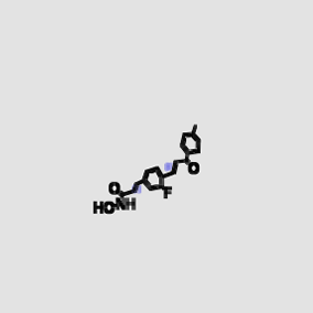 Cc1ccc(C(=O)/C=C/c2ccc(/C=C/C(=O)NO)cc2F)cc1